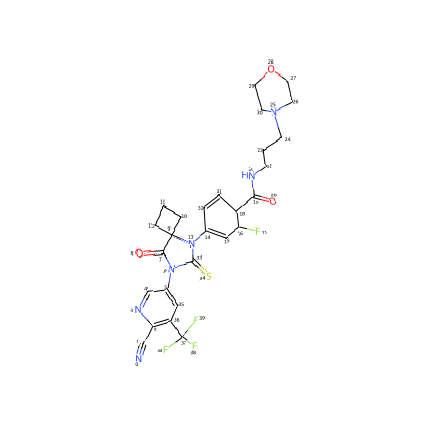 N#Cc1ncc(N2C(=O)C3(CCC3)N(C3=CC(F)C(C(=O)NCCCN4CCOCC4)C=C3)C2=S)cc1C(F)(F)F